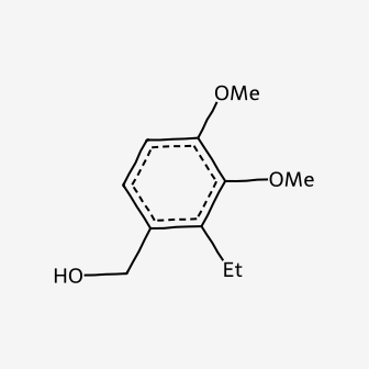 CCc1c(CO)ccc(OC)c1OC